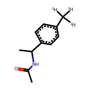 [2H]C([2H])([2H])c1ccc(C(C)NC(C)=O)cc1